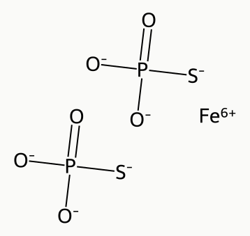 O=P([O-])([O-])[S-].O=P([O-])([O-])[S-].[Fe+6]